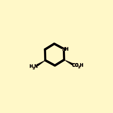 N[C@@H]1CCN[C@H](C(=O)O)C1